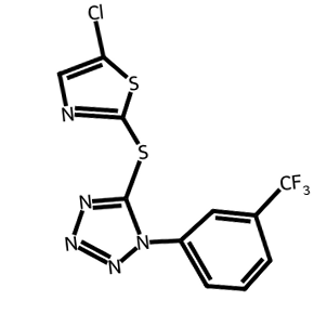 FC(F)(F)c1cccc(-n2nnnc2Sc2ncc(Cl)s2)c1